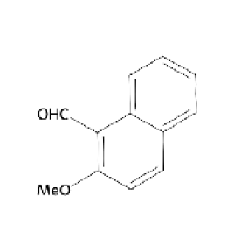 [CH2]Oc1ccc2ccccc2c1C=O